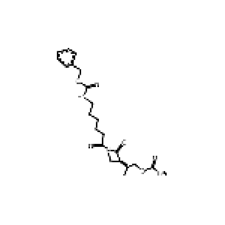 CCCC(=O)OCC(C)=C1CN(C(=O)CCCCCNC(=O)OCc2ccccc2)C1=O